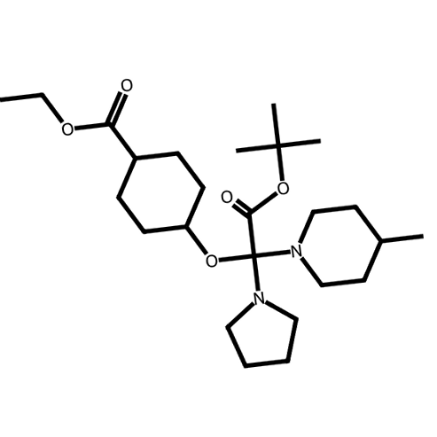 CCOC(=O)C1CCC(OC(C(=O)OC(C)(C)C)(N2CCCC2)N2CCC(C)CC2)CC1